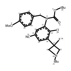 COc1ccc(CN(C(=O)OC(C)(C)C)c2cc(C#N)cc(C3(F)CN(C(C)(C)C)C3)c2Cl)cc1